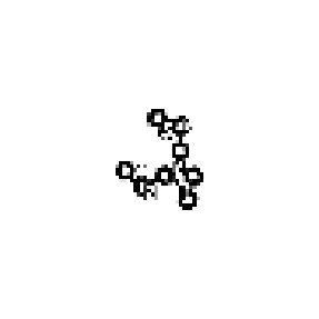 c1ccc2c(c1)oc1c(-c3ccc(N(c4ccc(-c5nccc6c5oc5ccccc56)cc4)c4cccc5c4sc4ccccc45)cc3)cncc12